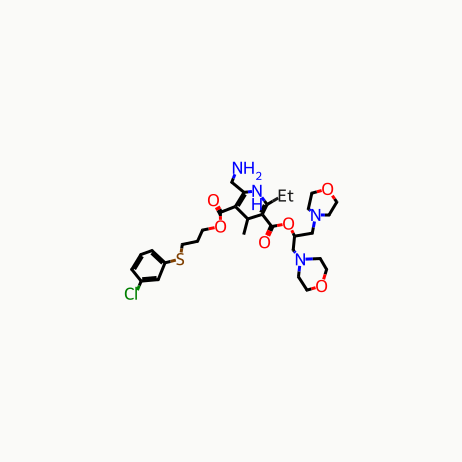 CCC1=C(C(=O)OC(CN2CCOCC2)CN2CCOCC2)C(C)C(C(=O)OCCCSc2cccc(Cl)c2)=C(CN)N1